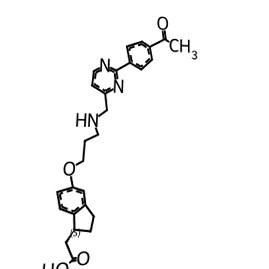 CC(=O)c1ccc(-c2nccc(CNCCCOc3ccc4c(c3)CC[C@H]4CC(=O)O)n2)cc1